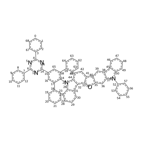 c1ccc(-c2nc(-c3ccccc3)nc(-c3cc(-c4ccccc4)c(-n4c5ccccc5c5c6oc7cc8c(cc7c6ccc54)c4ccccc4n8-c4ccccc4)c(-c4ccccc4)c3)n2)cc1